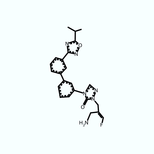 CC(C)c1nc(-c2cccc(-c3cccc(-n4cnn(C/C(=C/F)CN)c4=O)c3)c2)no1